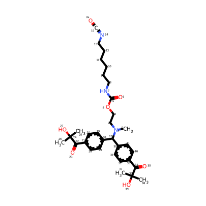 CN(CCOC(=O)NCCCCCCN=C=O)C(c1ccc(C(=O)C(C)(C)O)cc1)c1ccc(C(=O)C(C)(C)O)cc1